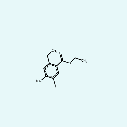 CCOC(=O)c1cc(I)c(N)cc1CC